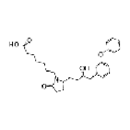 O=C(O)CCCCCCN1C(=O)CC[C@@H]1CC[C@@H](O)Cc1cccc(Oc2ccccc2)c1